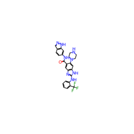 O=C(Nc1ccc2cn[nH]c2c1)c1cc2nc(Nc3ccccc3C(F)(F)F)[nH]c2cc1N1CCNCC1